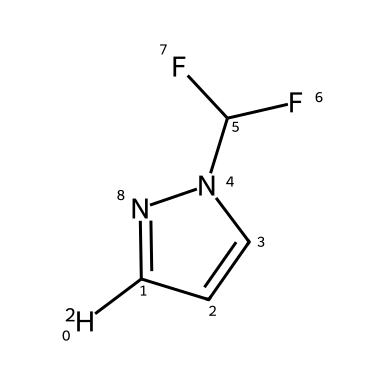 [2H]c1ccn(C(F)F)n1